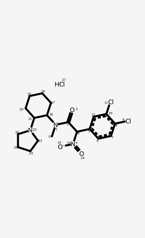 CN(C(=O)C(c1ccc(Cl)c(Cl)c1)[N+](=O)[O-])C1CCCCC1N1CCCC1.Cl